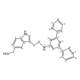 OCc1ccc2[nH]cc(CCNc3cc(-c4cccnc4)nc(-c4ccccn4)n3)c2c1